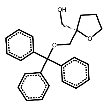 OC[C@]1(COC(c2ccccc2)(c2ccccc2)c2ccccc2)CCCO1